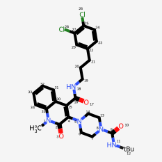 Cn1c(=O)c(N2CCN(C(=O)NC(C)(C)C)CC2)c(C(=O)NCCCc2ccc(Cl)c(Cl)c2)c2ccccc21